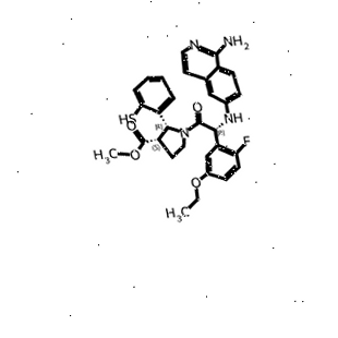 CCOc1ccc(F)c([C@@H](Nc2ccc3c(N)nccc3c2)C(=O)N2CC[C@H](C(=O)OC)[C@@H]2c2ccccc2S)c1